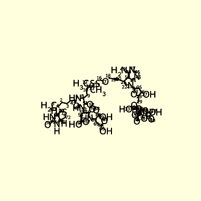 C=C(CCCC(=O)NC(CCC(C)(C)SSCOCC#Cc1cn(C2CC(O)C(COP(=O)(O)OP(=O)(O)OP(=O)(O)O)O2)c2ncnc(N)c12)C(=O)NC(CC(=O)O)C(=O)NC(CC(=O)O)C(=O)O)[C@@H]1SC[C@@H]2NC(=O)N[C@@H]21